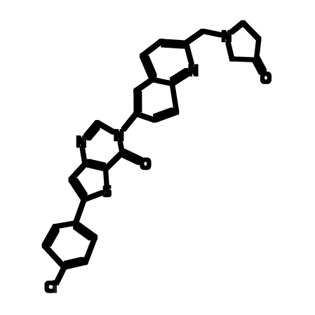 O=C1CCN(Cc2ccc3cc(-n4cnc5cc(-c6ccc(Cl)cc6)sc5c4=O)ccc3n2)C1